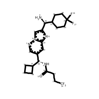 N[C@H](c1cn2ncc([C@H](NC(=O)CCC(F)(F)F)C3CCC3)cc2n1)C1CCC(F)(F)CC1